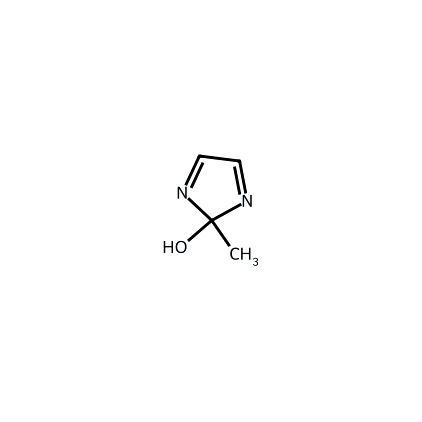 CC1(O)N=CC=N1